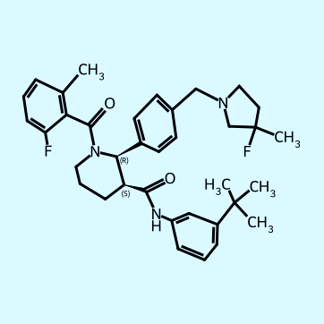 Cc1cccc(F)c1C(=O)N1CCC[C@H](C(=O)Nc2cccc(C(C)(C)C)c2)[C@@H]1c1ccc(CN2CCC(C)(F)C2)cc1